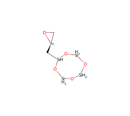 C1O[C@@H]1C[SiH]1O[SiH2]O[SiH2]O[SiH2]O1